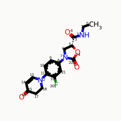 CCNC(=O)[C@H]1CN(c2ccc(N3C=CC(=O)CC3)c(F)c2)C(=O)O1